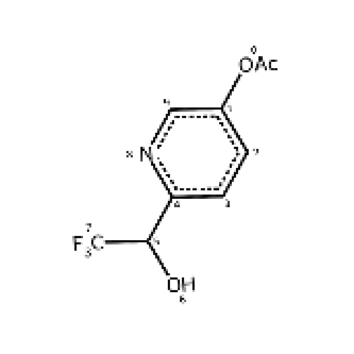 CC(=O)Oc1ccc(C(O)C(F)(F)F)nc1